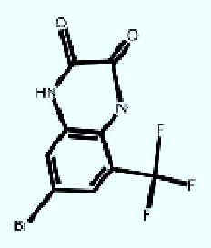 O=C1[N]c2c(cc(Br)cc2C(F)(F)F)NC1=O